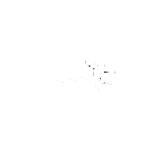 CCCCCCCC(CCC)C1(C(=O)O)OC1C